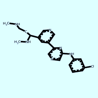 CNCCC(NC)c1cncc(-c2cncc(Nc3cccc(Cl)c3)n2)c1